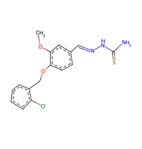 COc1cc(/C=N/NC(N)=S)ccc1OCc1ccccc1Cl